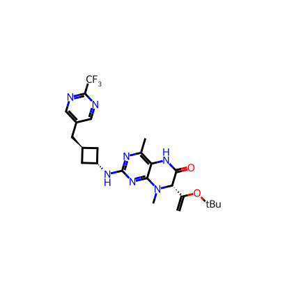 C=C(OC(C)(C)C)[C@H]1C(=O)Nc2c(C)nc(N[C@H]3C[C@H](Cc4cnc(C(F)(F)F)nc4)C3)nc2N1C